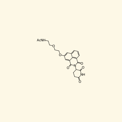 CC(=O)NCCOCCOc1cc2c3c(cccc3c1)C(=O)N(C1CCC(=O)NC1=O)C2=O